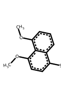 COc1cccc2c([S])ccc(OC)c12